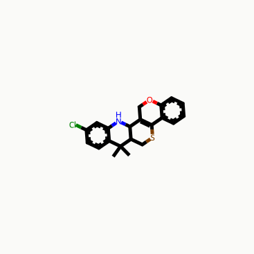 CC1(C)c2ccc(Cl)cc2NC2C3=C(SCC21)c1ccccc1OC3